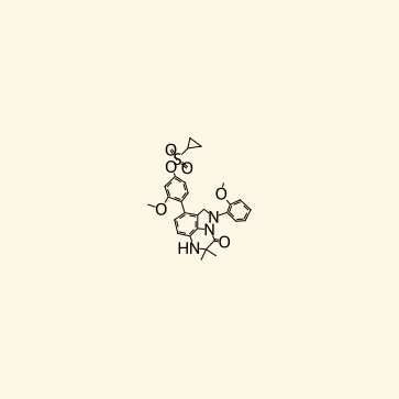 COc1cc(OS(=O)(=O)C2CC2)ccc1-c1ccc2c3c1CN(c1ccccc1OC)N3C(=O)C(C)(C)N2